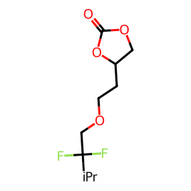 CC(C)C(F)(F)COCCC1COC(=O)O1